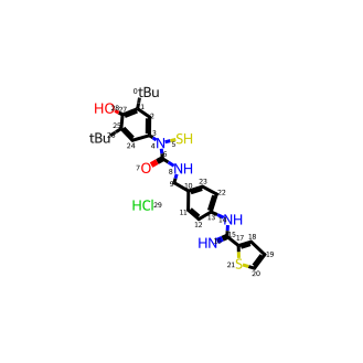 CC(C)(C)c1cc(N(S)C(=O)NCc2ccc(NC(=N)c3cccs3)cc2)cc(C(C)(C)C)c1O.Cl